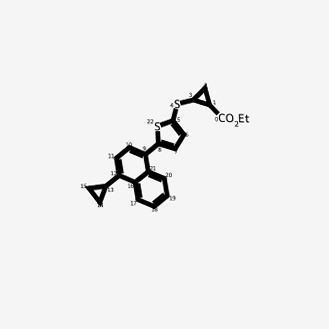 CCOC(=O)C1CC1Sc1ccc(-c2ccc(C3CC3)c3ccccc23)s1